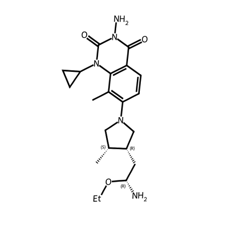 CCO[C@@H](N)C[C@H]1CN(c2ccc3c(=O)n(N)c(=O)n(C4CC4)c3c2C)C[C@H]1C